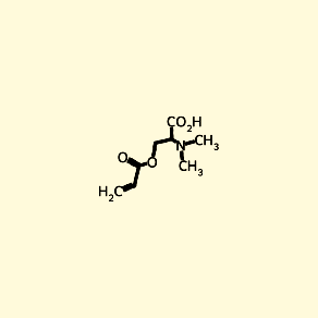 C=CC(=O)OCC(C(=O)O)N(C)C